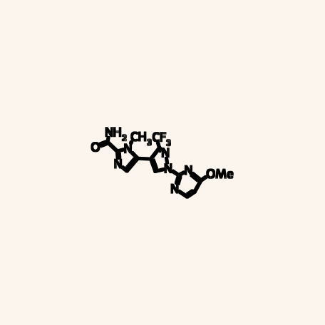 COc1ccnc(-n2cc(-c3cnc(C(N)=O)n3C)c(C(F)(F)F)n2)n1